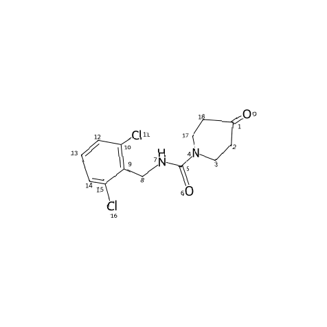 O=C1CCN(C(=O)NCc2c(Cl)cccc2Cl)CC1